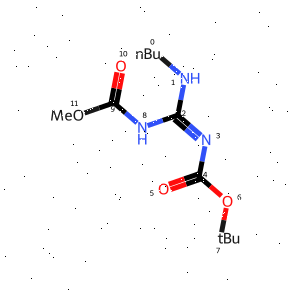 CCCCN/C(=N/C(=O)OC(C)(C)C)NC(=O)OC